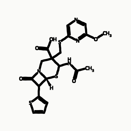 COc1cncc(SCC2(C(=O)O)CN3C(=O)C(c4cccs4)[C@H]3SC2NC(C)=O)n1